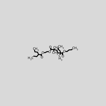 CCCCOC(=O)C(C)(CCC)CCC(C)(C)C(=O)OCCOC(=O)C(CCC)CCC